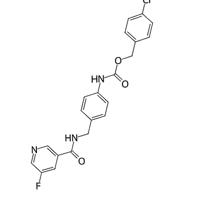 O=C(Nc1ccc(CNC(=O)c2cncc(F)c2)cc1)OCc1ccc(Cl)cc1